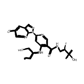 CCC(CO)Nc1cc(-n2ncc3cc(Cl)cnc32)ncc1C(=O)NCC(F)C(C)(C)O